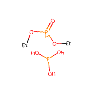 CCO[PH](=O)OCC.OP(O)O